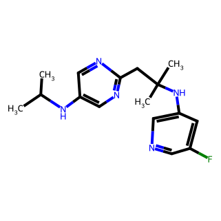 CC(C)Nc1cnc(CC(C)(C)Nc2cncc(F)c2)nc1